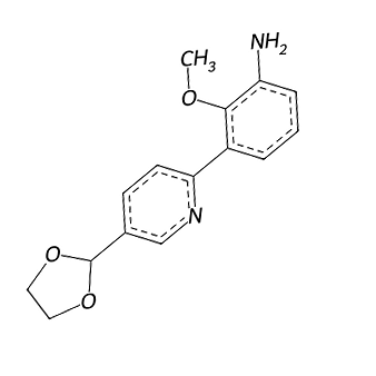 COc1c(N)cccc1-c1ccc(C2OCCO2)cn1